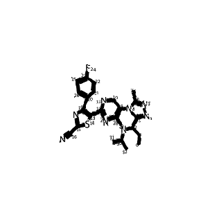 CCC1c2nnc(C)n2-c2cnc(-c3sc(C#N)nc3-c3ccc(F)cc3)nc2N1C(C)C